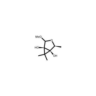 COC1O[C@@H](C)[C@]2(O)C(C)(C)[C@]12O